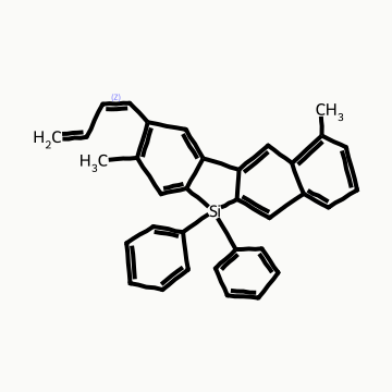 C=C/C=C\c1cc2c(cc1C)[Si](c1ccccc1)(c1ccccc1)c1cc3cccc(C)c3cc1-2